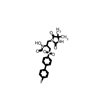 CC1(C)NC(=O)N(CC(CS(=O)(=O)c2ccc(-c3ccc(F)cc3)cc2)N(O)C=O)C1=O